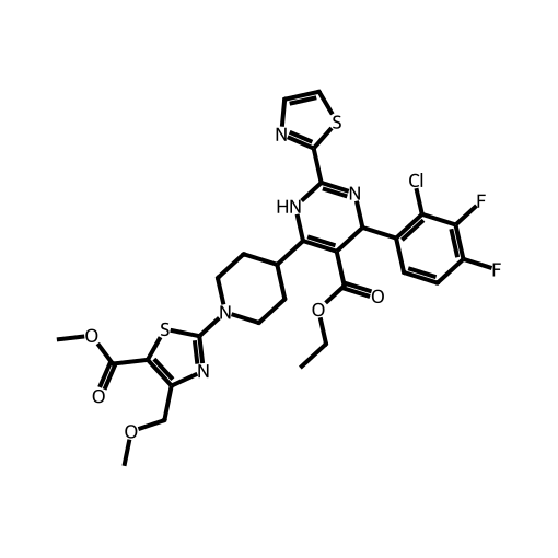 CCOC(=O)C1=C(C2CCN(c3nc(COC)c(C(=O)OC)s3)CC2)NC(c2nccs2)=NC1c1ccc(F)c(F)c1Cl